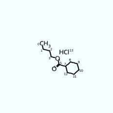 CCCCOC(=O)C1CCCCC1.Cl